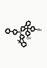 CC(C)(C)c1ccc(C2(c3ccc(O)cc3)c3ccccc3-c3ccc(N(c4ccc(-c5ccccc5)cc4)c4ccc5c(c4)C(C)(C)c4ccccc4-5)cc32)cc1